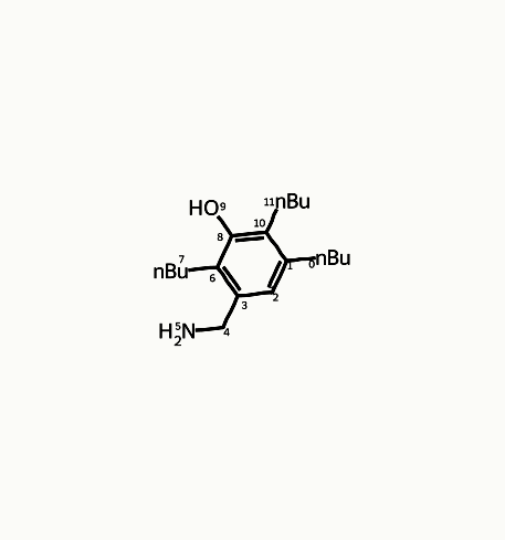 CCCCc1[c]c(CN)c(CCCC)c(O)c1CCCC